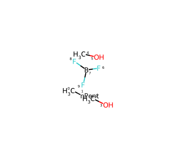 CCCCCC.CO.CO.FB(F)F